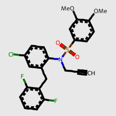 C#CCN(c1ccc(Cl)cc1Cc1c(F)cccc1F)S(=O)(=O)c1ccc(OC)c(OC)c1